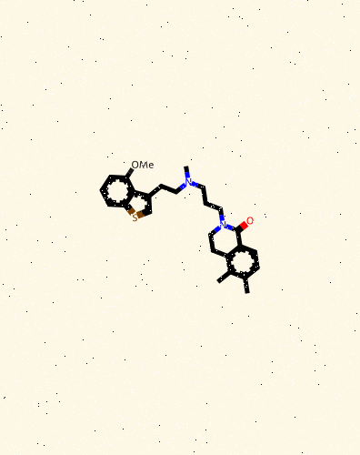 COc1cccc2scc(CCN(C)CCCN3CCc4c(ccc(C)c4C)C3=O)c12